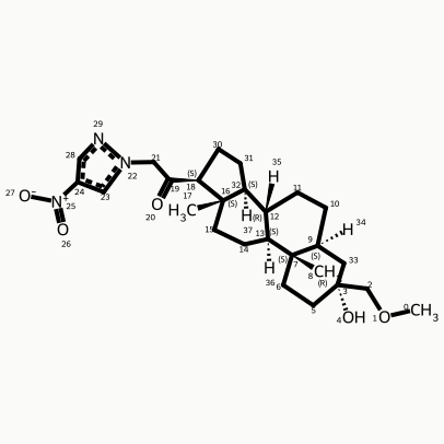 COC[C@@]1(O)CC[C@@]2(C)[C@@H](CC[C@@H]3[C@@H]2CC[C@]2(C)[C@@H](C(=O)Cn4cc([N+](=O)[O-])cn4)CC[C@@H]32)C1